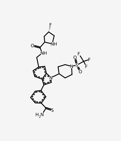 NC(=S)c1cccc(-c2cn(C3CCN(S(=O)(=O)C(F)(F)F)CC3)c3cc(CNC(=O)C4C[C@H](F)CN4)ccc23)c1